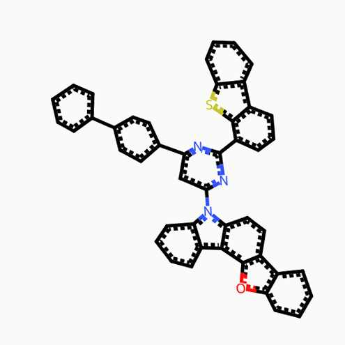 c1ccc(-c2ccc(-c3cc(-n4c5ccccc5c5c6oc7ccccc7c6ccc54)nc(-c4cccc5c4sc4ccccc45)n3)cc2)cc1